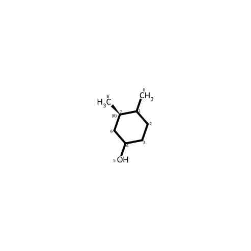 CC1CCC(O)C[C@H]1C